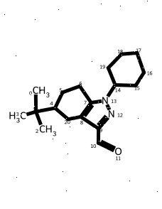 CC(C)(C)C1CCc2c(c(C=O)nn2C2CCCCC2)C1